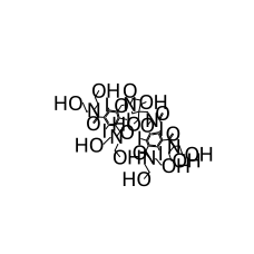 CC(=O)N(CC(CO)(CO)CN(Oc1c(I)c(C(=O)N(CCO)CCO)c(I)c(C(=O)N(CCO)CCO)c1I)C(C)=O)Oc1c(I)c(C(=O)N(CCO)CCO)c(I)c(C(=O)N(CCO)CCO)c1I